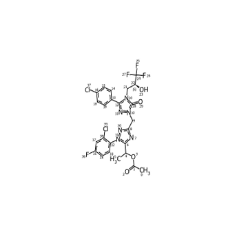 CC(=O)OC(C)c1nc(Cn2nc(-c3ccc(Cl)cc3)n(C[C@H](O)C(F)(F)F)c2=O)nn1-c1ccc(F)cc1Cl